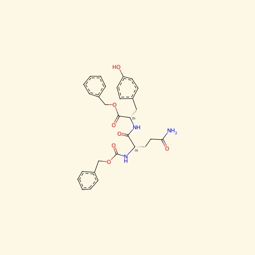 NC(=O)CC[C@H](NC(=O)OCc1ccccc1)C(=O)N[C@@H](Cc1ccc(O)cc1)C(=O)OCc1ccccc1